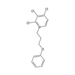 Clc1cc[si](CCCOc2ccccc2)c(Cl)c1Cl